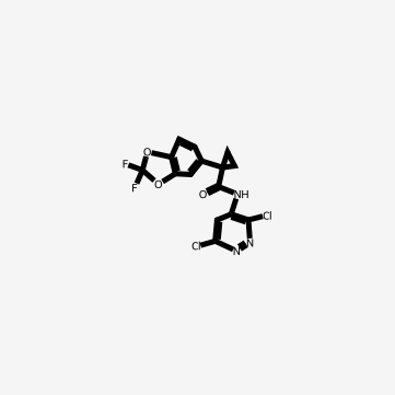 O=C(Nc1cc(Cl)nnc1Cl)C1(c2ccc3c(c2)OC(F)(F)O3)CC1